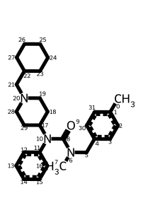 Cc1ccc(CN(C)C(=O)N(c2ccccc2)C2CCN(CC3CCCCC3)CC2)cc1